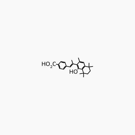 CC(=Cc1ccc(C(=O)O)cc1)c1c(C)cc2c(c1O)C(C)(C)CCC2(C)C